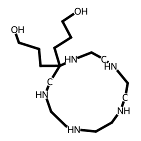 OCCCC1(CCCO)CNCCNCCNCCNCCN1